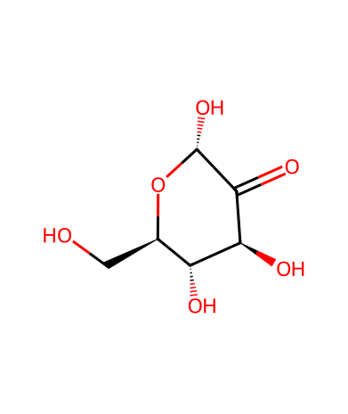 O=C1[C@@H](O)[C@H](O)[C@@H](CO)O[C@@H]1O